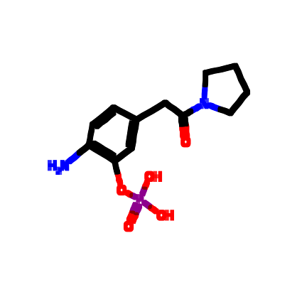 Nc1ccc(CC(=O)N2CCCC2)cc1OP(=O)(O)O